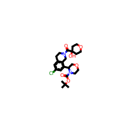 CC(C)(C)OC(=O)N1CCOCC1c1cc(Cl)cc2c1CN(C(=O)C1(O)CCOCC1)CC2